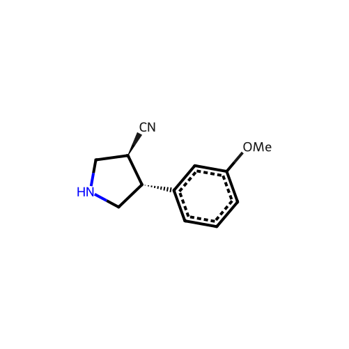 COc1cccc([C@@H]2CNC[C@H]2C#N)c1